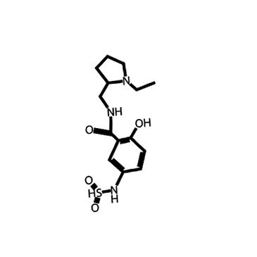 CCN1CCCC1CNC(=O)c1cc(N[SH](=O)=O)ccc1O